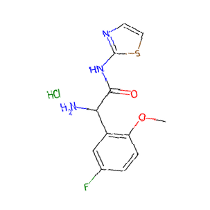 COc1ccc(F)cc1C(N)C(=O)Nc1nccs1.Cl